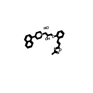 Cc1noc(/C=C/c2ccccc2OC[C@@H](O)CN2CCC(c3cccc4ccccc34)CC2)n1.Cl